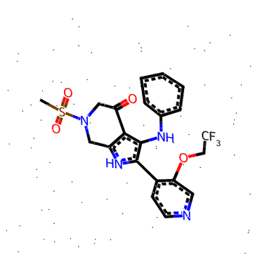 CS(=O)(=O)N1CC(=O)c2c([nH]c(-c3ccncc3OCC(F)(F)F)c2Nc2ccccc2)C1